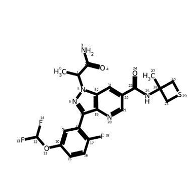 CC(C(N)=O)n1nc(-c2cc(OC(F)F)ccc2F)c2ncc(C(=O)NC3(C)CSC3)cc21